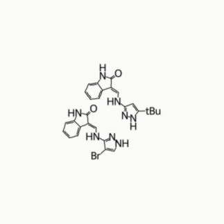 CC(C)(C)c1cc(N/C=C2/C(=O)Nc3ccccc32)n[nH]1.O=C1Nc2ccccc2/C1=C\Nc1n[nH]cc1Br